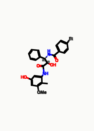 CCc1ccc(C(=O)N[C@@H](c2ccccc2)[C@@H](O)C(=O)Nc2cc(O)cc(OC)c2C)cc1